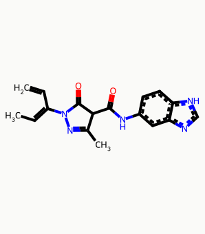 C=C/C(=C\C)N1N=C(C)C(C(=O)Nc2ccc3[nH]cnc3c2)C1=O